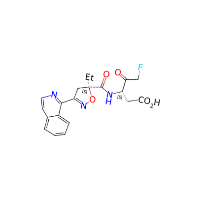 CC[C@@]1(C(=O)N[C@@H](CC(=O)O)C(=O)CF)CC(c2nccc3ccccc23)=NO1